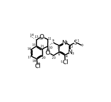 CSc1nc(Cl)c2c(n1)C[C@]1(CO[C@@H](C)c3ccc(Cl)cc31)OC2